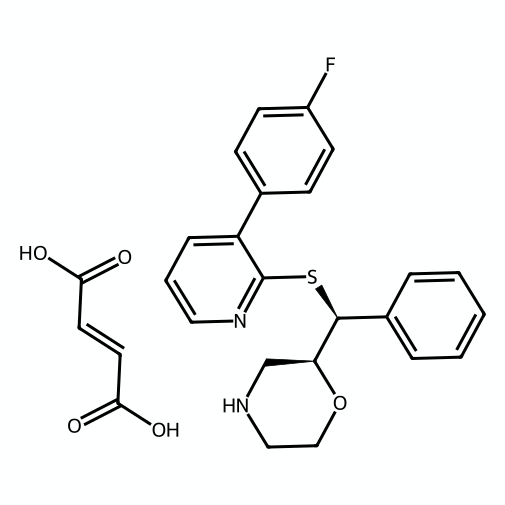 Fc1ccc(-c2cccnc2S[C@@H](c2ccccc2)[C@@H]2CNCCO2)cc1.O=C(O)C=CC(=O)O